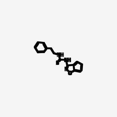 S=C(NCCc1ccccc1)Nc1noc2ccccc12